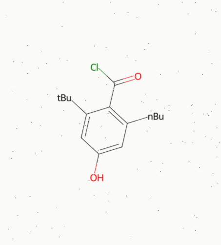 CCCCc1cc(O)cc(C(C)(C)C)c1C(=O)Cl